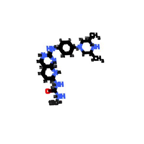 CC1CN(c2ccc(Nc3ncc4ccc(NC(=O)NC(C)(C)C)nc4n3)cc2)CC(C)N1